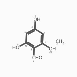 C.O=Cc1c(O)cc(O)cc1O